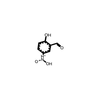 O=Cc1cc([N@@H+]([O-])O)ccc1O